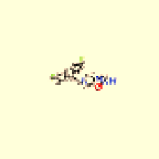 O=C1NCCN1C1CCN(CCCC(c2ccc(F)cc2)c2ccc(F)cc2)CC1